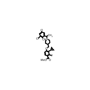 COC(=O)c1ccc(OCC2CCN(C(C)c3cc(Cl)cc(Cl)c3C#N)CC2)c(C2CC2)c1F